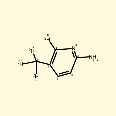 [2H]c1nc(N)ccc1C([2H])([2H])[2H]